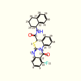 O=C(CSc1nc2cccc(F)c2c(=O)n1-c1ccccc1)NC1CCCc2ccccc21